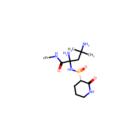 CCCNC(=O)C(N)(CC(C)(C)N)N[PH](=O)[C@H]1CCCNC1=O